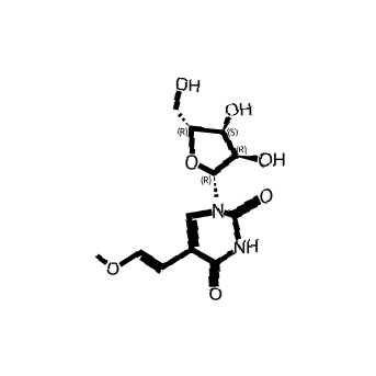 COC=Cc1cn([C@@H]2O[C@H](CO)[C@@H](O)[C@H]2O)c(=O)[nH]c1=O